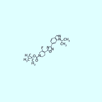 CC(C)n1ncc2ccc(-c3noc(C4=C(F)CN(C(=O)OC(C)(C)C)CC4)n3)cc21